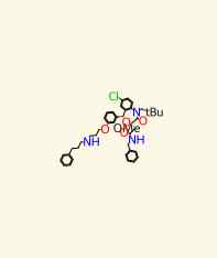 COc1c(OCCCNCCCc2ccccc2)cccc1[C@@H]1O[C@@H](CC(=O)NCc2ccccc2)C(=O)N(CC(C)(C)C)c2ccc(Cl)cc21